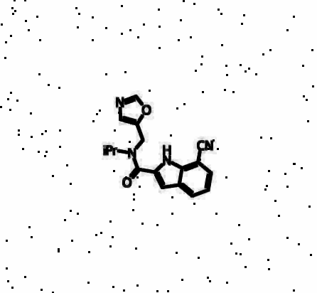 CC(C)N(Cc1cnco1)C(=O)c1cc2cccc(C#N)c2[nH]1